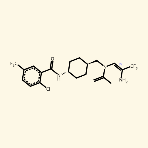 C=C(C)N(/C=C(\N)C(F)(F)F)C[C@H]1CC[C@H](NC(=O)c2cc(C(F)(F)F)ccc2Cl)CC1